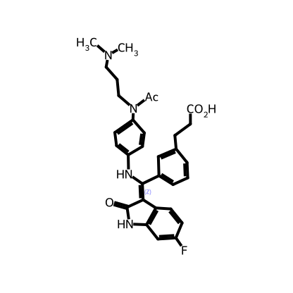 CC(=O)N(CCCN(C)C)c1ccc(N/C(=C2\C(=O)Nc3cc(F)ccc32)c2cccc(CCC(=O)O)c2)cc1